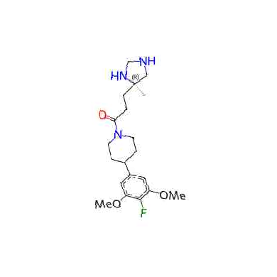 COc1cc(C2CCN(C(=O)CC[C@]3(C)CNCN3)CC2)cc(OC)c1F